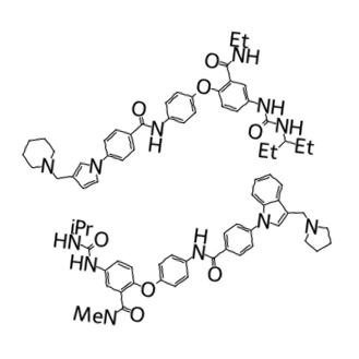 CCNC(=O)c1cc(NC(=O)NC(CC)CC)ccc1Oc1ccc(NC(=O)c2ccc(-n3ccc(CN4CCCCC4)c3)cc2)cc1.CNC(=O)c1cc(NC(=O)NC(C)C)ccc1Oc1ccc(NC(=O)c2ccc(-n3cc(CN4CCCC4)c4ccccc43)cc2)cc1